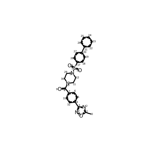 Cc1nc(-c2ccc(C(=O)N3CCN(S(=O)(=O)c4ccc(-c5ccccc5)cc4)CC3)cc2)no1